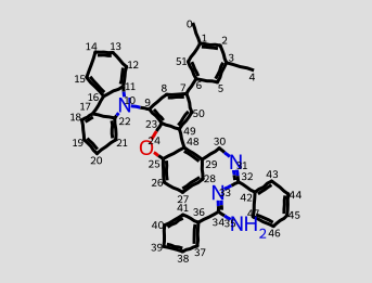 Cc1cc(C)cc(-c2cc(-n3c4ccccc4c4ccccc43)c3oc4cccc(C/N=C(\N=C(/N)c5ccccc5)c5ccccc5)c4c3c2)c1